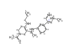 C=CCNC1=C(C(=C)Nc2cccc(/C(C=N)=C/NC)c2)CN(C(C)=O)CC1